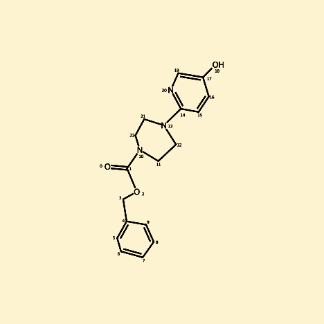 O=C(OCc1ccccc1)N1CCN(c2ccc(O)cn2)CC1